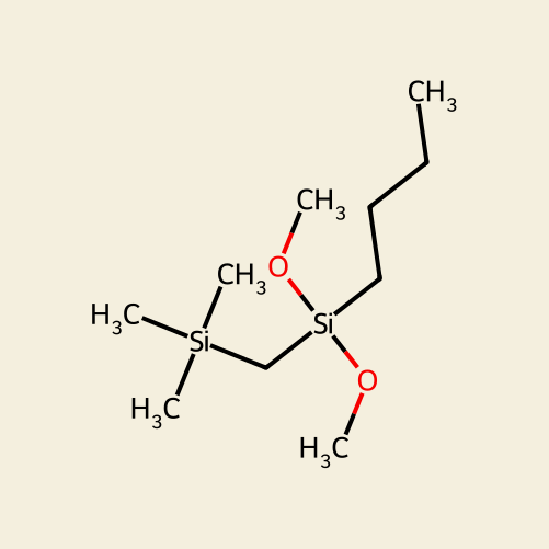 CCCC[Si](C[Si](C)(C)C)(OC)OC